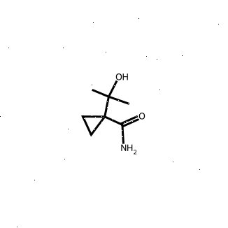 CC(C)(O)C1(C(N)=O)CC1